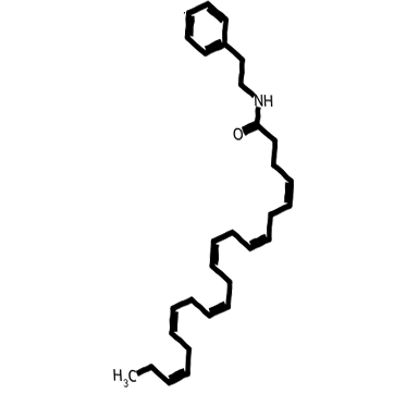 CC/C=C\C/C=C\C/C=C\C/C=C\C/C=C\C/C=C\CCC(=O)NCCc1cc[c]cc1